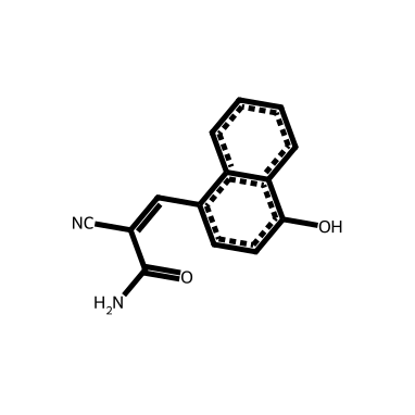 N#C/C(=C/c1ccc(O)c2ccccc12)C(N)=O